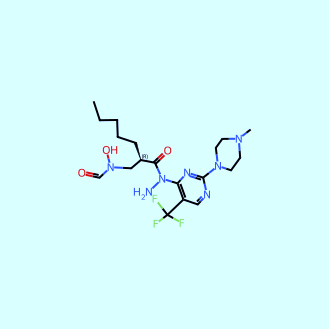 CCCCC[C@H](CN(O)C=O)C(=O)N(N)c1nc(N2CCN(C)CC2)ncc1C(F)(F)F